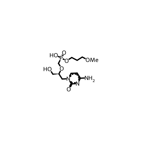 COCCCOP(=O)(O)CO[C@H](CO)Cn1ccc(N)nc1=O